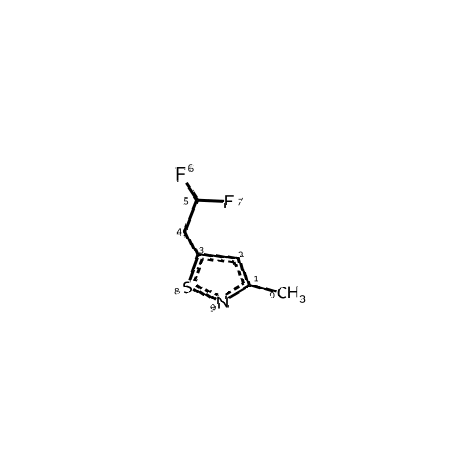 Cc1cc([CH]C(F)F)sn1